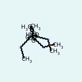 CCCCCCCC/C=C\CCCCCCCC(=O)OCC(COC(=O)CCCCCCC/C=C\CCCCCCCC)(COC(=O)CCCCCCC/C=C\CCCCCCCC)NC(=O)C1CCN(C(C)C)CC1